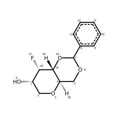 O[C@H]1CO[C@@H]2COC(c3ccccc3)O[C@H]2[C@H]1F